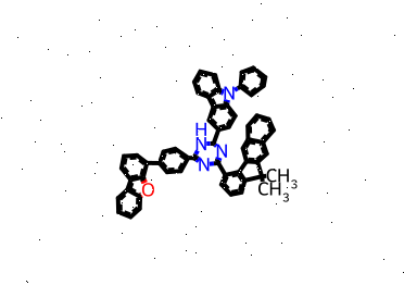 CC1(C)c2cc3ccccc3cc2-c2c(C3=NC(c4ccc5c(c4)c4ccccc4n5-c4ccccc4)NC(c4ccc(-c5cccc6c5oc5ccccc56)cc4)=N3)cccc21